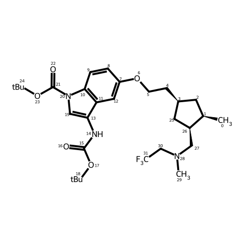 C[C@@H]1C[C@H](CCOc2ccc3c(c2)c(NC(=O)OC(C)(C)C)cn3C(=O)OC(C)(C)C)C[C@@H]1CN(C)CC(F)(F)F